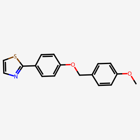 COc1ccc(COc2ccc(-c3nccs3)cc2)cc1